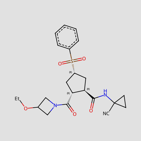 CCOC1CN(C(=O)[C@@H]2C[C@H](S(=O)(=O)c3ccccc3)C[C@H]2C(=O)NC2(C#N)CC2)C1